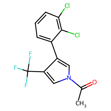 CC(=O)n1cc(-c2cccc(Cl)c2Cl)c(C(F)(F)F)c1